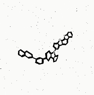 c1cc(-c2ccc3ccccc3c2)cc(-c2ccc3c(c2)c2ccccc2n3-c2ccc3oc4c(ccc5c6ccccc6sc54)c3c2)c1